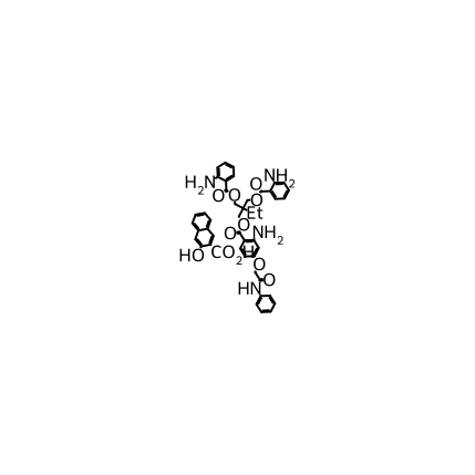 CCC(COC(=O)c1ccccc1N)(COC(=O)c1ccccc1N)COC(=O)c1ccc(OCC(=O)Nc2ccccc2)cc1N.O=C(O)c1cc2ccccc2cc1O